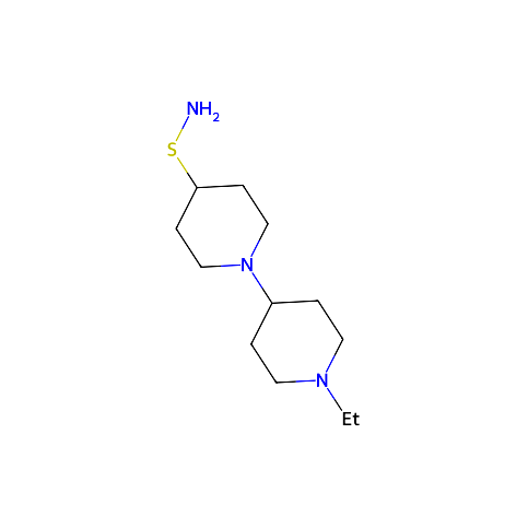 CCN1CCC(N2CCC(SN)CC2)CC1